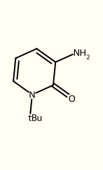 CC(C)(C)n1cccc(N)c1=O